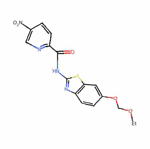 CCOCOc1ccc2nc(NC(=O)c3ccc([N+](=O)[O-])cn3)sc2c1